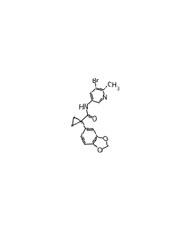 Cc1ncc(NC(=O)C2(c3ccc4c(c3)OCO4)CC2)cc1Br